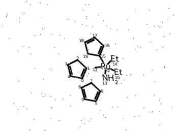 C1=CCC=C1.C1=CCC=C1.C[CH2][Ru]([CH3])([NH2])([CH2]C)[C]1=CC=CC1